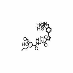 CCCCCC(CN(O)C=O)C(=O)NCNC(=O)c1ccc(-c2ccc3c(c2)S(O)(O)NC3)o1